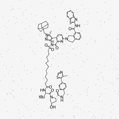 Cc1ncsc1-c1ccc([C@H](C)NC(=O)[C@@H]2C[C@@H](O)CN2C(=O)C(NC(=O)CCCCCCCCCCCS(=O)(=O)NC(=O)c2nc(N3CCc4cccc(C(=O)Nc5nc6ccccc6s5)c4C3)ccc2-c2cnn(CC34CC5CC(CC(C5)C3)C4)c2C)C(C)(C)C)cc1